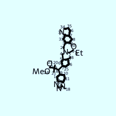 CC[C@@H]1CN(Cc2cc(C(c3ccc4c(c3)nnn4C)C(C)(C)C(=O)OC)ccc2C)Cc2cc3ncccc3cc2O1